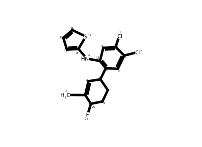 CC1=CC(c2cc(Cl)c(Cl)cc2Nc2cccs2)CCC1F